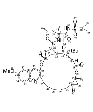 C=C[C@@H]1C[C@]1(NC(=O)[C@@H]1C[C@@H]2CN1C(=O)[C@H](C(C)(C)C)NC(=O)O[C@]1(C)C[C@H]1CCCCCc1nc3ccc(OC)cc3cc1O2)C(=O)NS(=O)(=O)C1CC1